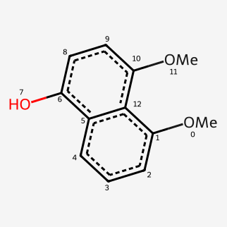 COc1cccc2c(O)ccc(OC)c12